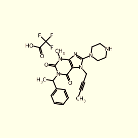 CC#CCn1c(N2CCNCC2)nc2c1c(=O)n(C(C)c1ccccc1)c(=O)n2C.O=C(O)C(F)(F)F